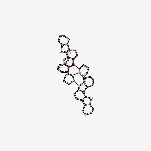 N#Cc1cc(C(F)(F)F)ccc1-c1cccc(-n2c3ccccc3c3c4oc5ccccc5c4ccc32)c1-c1c(C#N)cccc1-n1c2ccccc2c2c3oc4ccccc4c3ccc21